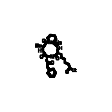 CCC(=O)CCCCC[C@@H]1NC(=O)[C@H]2CCCCN2C(=O)[C@H]([C@H](C)CC)NC(=O)[C@H](CC(=O)Cc2ccccc2)NC1=O